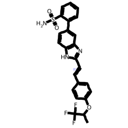 CC(Oc1ccc(/C=C/c2nc3cc(-c4ccccc4S(N)(=O)=O)ccc3[nH]2)cc1)C(F)(F)F